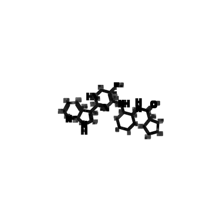 O=C(NC1CCCCC1NC1=C(F)CNC(c2c[nH]c3ncccc23)=N1)C1CCCC1